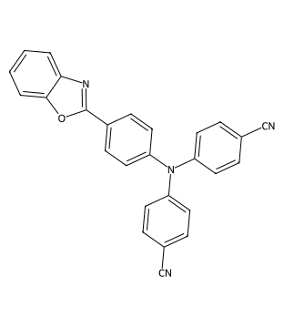 N#Cc1ccc(N(c2ccc(C#N)cc2)c2ccc(-c3nc4ccccc4o3)cc2)cc1